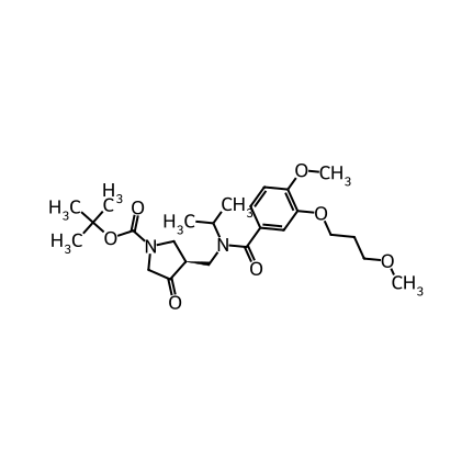 COCCCOc1cc(C(=O)N(C[C@@H]2CN(C(=O)OC(C)(C)C)CC2=O)C(C)C)ccc1OC